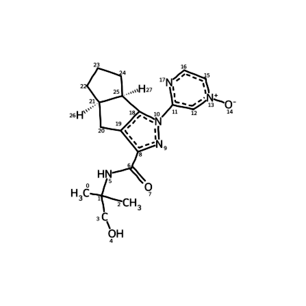 CC(C)(CO)NC(=O)c1nn(-c2c[n+]([O-])ccn2)c2c1C[C@H]1CCC[C@@H]21